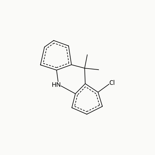 CC1(C)c2ccccc2Nc2cccc(Cl)c21